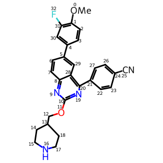 COc1ccc(-c2ccc3nc(OCC4CCNCC4)nc(-c4ccc(C#N)cc4)c3c2)cc1F